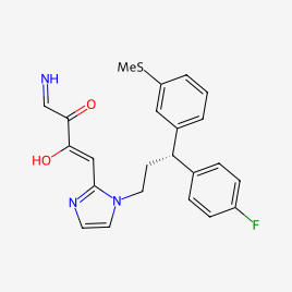 CSc1cccc([C@@H](CCn2ccnc2/C=C(\O)C(=O)C=N)c2ccc(F)cc2)c1